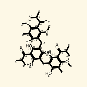 COc1c(C)c(O)c(Cc2c(O)c(Cc3c(O)c(C)c(OC)c(C(=O)C(C)C)c3OC)c(O)c(C(=O)C(C)C)c2O)c(O)c1C(=O)C(C)C